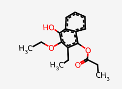 CCOc1c(CC)c(OC(=O)CC)c2ccccc2c1O